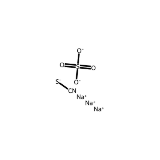 N#C[S-].O=S(=O)([O-])[O-].[Na+].[Na+].[Na+]